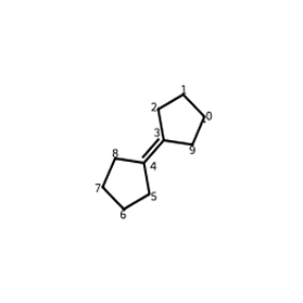 [CH]1CCC(=C2CCCC2)C1